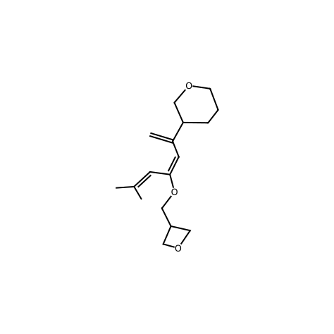 C=C(/C=C(\C=C(C)C)OCC1COC1)C1CCCOC1